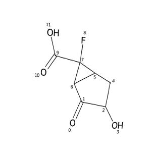 O=C1C(O)CC2C1C2(F)C(=O)O